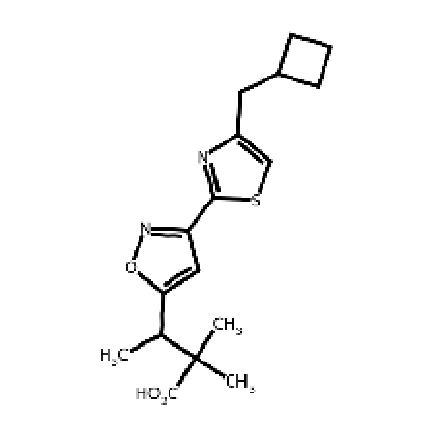 CC(c1cc(-c2nc(CC3CCC3)cs2)no1)C(C)(C)C(=O)O